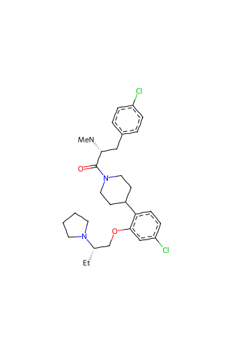 CC[C@@H](COc1cc(Cl)ccc1C1CCN(C(=O)[C@@H](Cc2ccc(Cl)cc2)NC)CC1)N1CCCC1